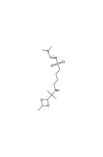 CC1OC(C(C)(C)NCCCCS(=O)(=O)/N=C/N(C)C)O1